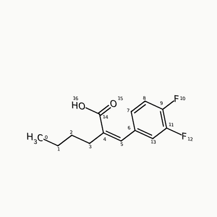 CCCCC(=Cc1ccc(F)c(F)c1)C(=O)O